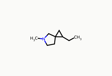 CCC1CC12CCN(C)C2